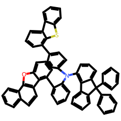 c1ccc(C2(c3ccccc3)c3ccccc3-c3c(N(c4ccc(-c5cccc6c5sc5ccccc56)cc4)c4ccccc4-c4cccc5oc6c7ccccc7ccc6c45)cccc32)cc1